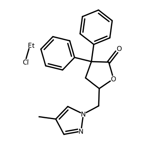 CCCl.Cc1cnn(CC2CC(c3ccccc3)(c3ccccc3)C(=O)O2)c1